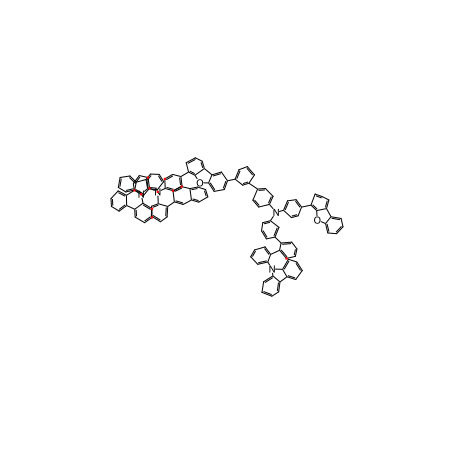 c1cc(-c2ccc(N(c3ccc(-c4cccc5c4oc4ccccc45)cc3)c3cccc(-c4ccccc4-c4ccccc4-n4c5ccccc5c5ccccc54)c3)cc2)cc(-c2ccc3oc4c(-c5ccc(N(c6cccc(-c7ccccc7-c7ccccc7-n7c8ccccc8c8ccccc87)c6)c6ccccc6-c6ccc7ccccc7c6)cc5)cccc4c3c2)c1